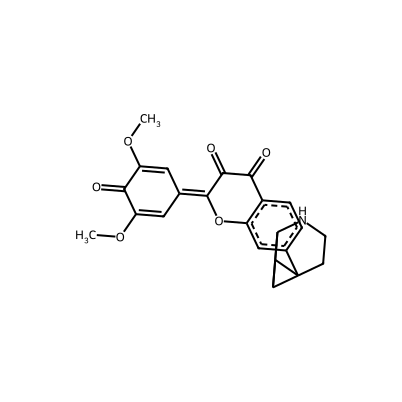 COC1=CC(=C2Oc3cc(C45CCNC6C4C65)ccc3C(=O)C2=O)C=C(OC)C1=O